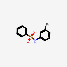 CCCc1cccc(NS(=O)(=O)c2ccccc2)c1